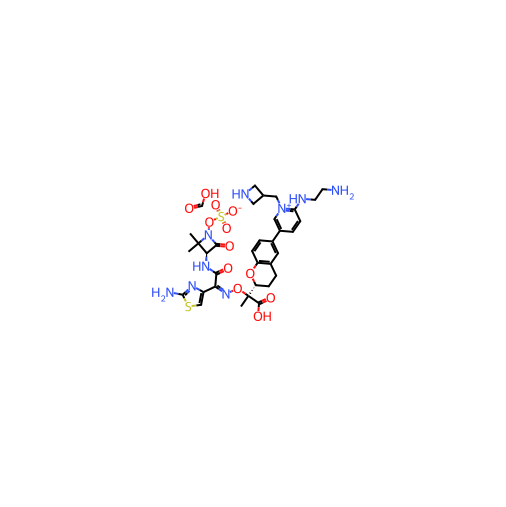 CC(O/N=C(\C(=O)N[C@@H]1C(=O)N(OS(=O)(=O)[O-])C1(C)C)c1csc(N)n1)(C(=O)O)[C@H]1CCc2cc(-c3ccc(NCCN)[n+](CC4CNC4)c3)ccc2O1.O=CO